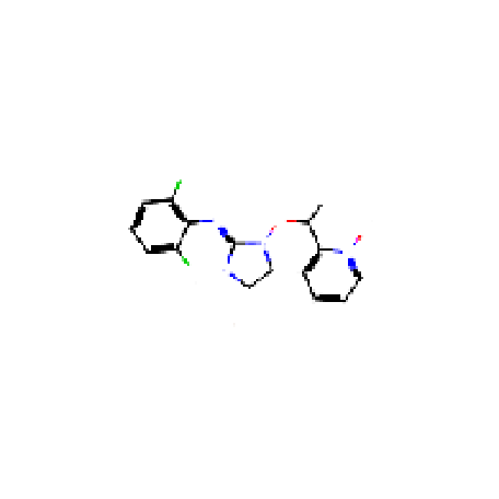 Br.Br.CC(ON1CCN/C1=N\c1c(Cl)cccc1Cl)c1cccc[n+]1[O-]